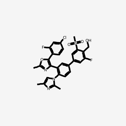 Cc1cn(-c2ccc(-c3cc(F)c(CO)c(S(C)(=O)=O)c3)cc2-c2nc(C)oc2-c2ccc(Cl)cc2F)c(C)n1